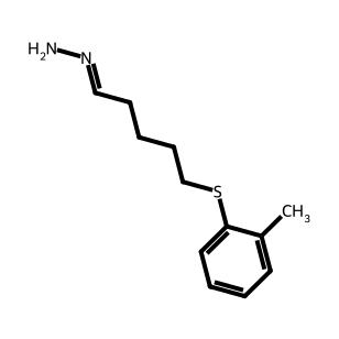 Cc1ccccc1SCCCCC=NN